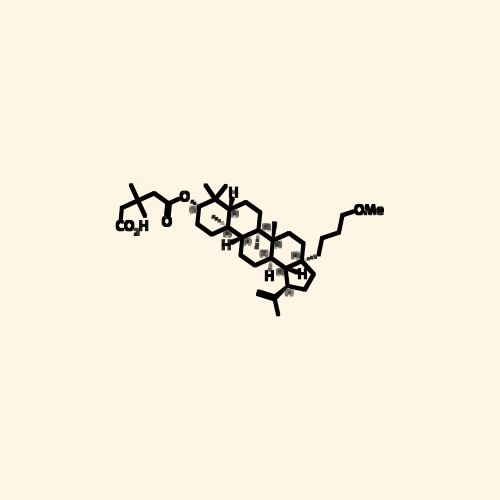 C=C(C)[C@@H]1CC[C@]2(CCCCOC)CC[C@]3(C)[C@H](CC[C@@H]4[C@@]5(C)CC[C@H](OC(=O)CC(C)(C)CC(=O)O)C(C)(C)[C@@H]5CC[C@]43C)[C@@H]12